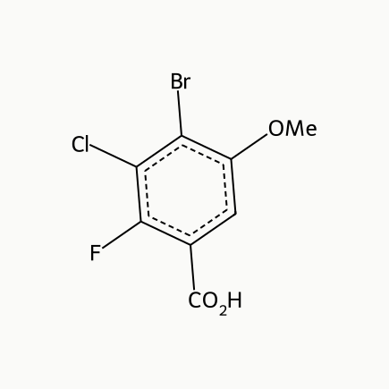 COc1cc(C(=O)O)c(F)c(Cl)c1Br